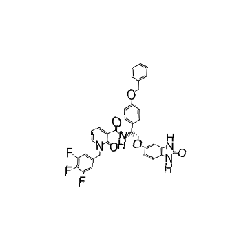 O=C(N[C@@H](COc1ccc2[nH]c(=O)[nH]c2c1)c1ccc(OCc2ccccc2)cc1)c1cccn(Cc2cc(F)c(F)c(F)c2)c1=O